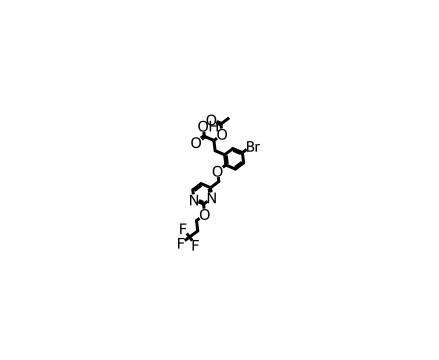 CC(=O)OC(Cc1cc(Br)ccc1OCc1ccnc(OCCC(F)(F)F)n1)C(=O)O